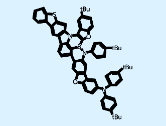 CC(C)(C)c1ccc(N2B3c4oc5ccc(C(C)(C)C)cc5c4-n4c5cc6sc7ccccc7c6cc5c5ccc(c3c54)-c3cc4oc5ccc(N(c6ccc(C(C)(C)C)cc6)c6ccc(C(C)(C)C)cc6)cc5c4cc32)cc1